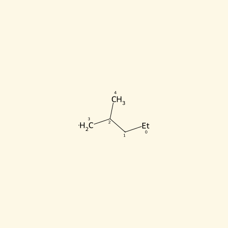 [CH2]CCC([CH2])C